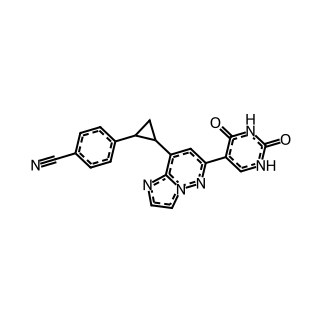 N#Cc1ccc(C2CC2c2cc(-c3c[nH]c(=O)[nH]c3=O)nn3ccnc23)cc1